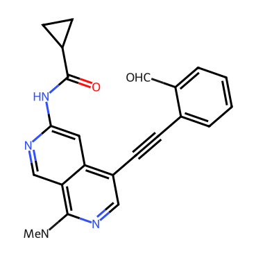 CNc1ncc(C#Cc2ccccc2C=O)c2cc(NC(=O)C3CC3)ncc12